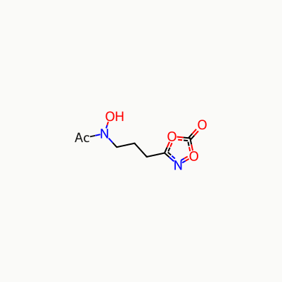 CC(=O)N(O)CCCc1noc(=O)o1